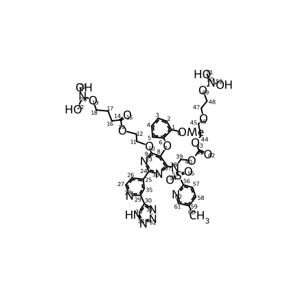 COc1ccccc1Oc1c(OCCOC(=O)CCCON(O)O)nc(-c2ccnc(-c3nnn[nH]3)c2)nc1N(COC(=O)OCCOCCON(O)O)S(=O)(=O)c1ccc(C)cn1